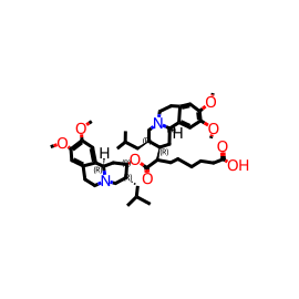 COc1cc2c(cc1OC)[C@H]1C[C@@H](OC(=O)C(CCCCCC(=O)O)[C@@H]3C[C@@H]4c5cc(OC)c(OC)cc5CCN4C[C@@H]3CC(C)C)[C@H](CC(C)C)CN1CC2